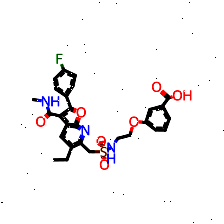 CCc1cc2c(C(=O)NC)c(-c3ccc(F)cc3)oc2nc1CS(=O)(=O)NCCOc1cccc(C(=O)O)c1